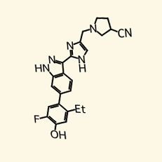 CCc1cc(O)c(F)cc1-c1ccc2c(-c3nc(CN4CCC(C#N)C4)c[nH]3)n[nH]c2c1